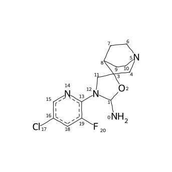 NC1OC2(CN3CCC2CC3)CN1c1ncc(Cl)cc1F